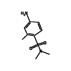 Cc1cc(N)ccc1S(=O)(=O)N(C)C